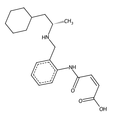 C[C@@H](CC1CCCCC1)NCc1ccccc1NC(=O)/C=C\C(=O)O